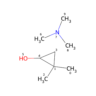 CC1(C)CC1O.CN(C)C